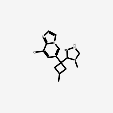 CC1CC(c2cc(Cl)c3nccn3c2)(C2NNCN2C)C1